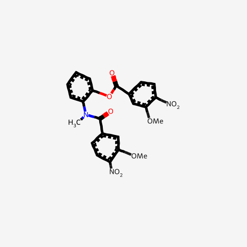 COc1cc(C(=O)Oc2ccccc2N(C)C(=O)c2ccc([N+](=O)[O-])c(OC)c2)ccc1[N+](=O)[O-]